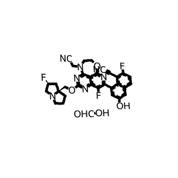 C#Cc1c(F)ccc2cc(O)cc(-c3nc4c5c(nc(OC[C@@]67CCCN6C[C@H](F)C7)nc5c3F)N(CC#N)CCO4)c12.O=CO